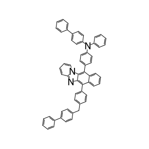 c1ccc(-c2ccc(Cc3ccc(-c4c5ccccc5c(-c5ccc(N(c6ccccc6)c6ccc(-c7ccccc7)cc6)cc5)c5c4nc4ccccn45)cc3)cc2)cc1